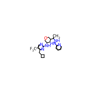 C=C(NNc1ccccn1)C1COCC(Nc2ncc(C(F)(F)F)c(CC3CCC3)n2)C1